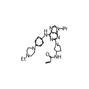 C=CC(=O)NC1CCN(c2nc(Nc3ccc(N4CCN(CC)CC4)cc3)c3ncn(C(C)C)c3n2)C1